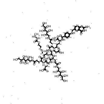 CNNC(=O)OCCSSC[C@@H](NC(=O)[C@H](CCC(=O)NC[C@H](O)[C@@H](O)[C@H](O)[C@H](O)CO)NC(=O)[C@@H](CCC(=O)O)NC(=O)[C@H](CCC(=O)NC[C@H](O)[C@@H](O)[C@H](O)[C@H](O)CO)NC(=O)[C@@H](CCC(=O)O)NC(=O)[C@H](CCC(=O)NC[C@H](O)[C@@H](O)[C@H](O)[C@H](O)CO)NC(=O)CC[C@H](NC(=O)c1ccc(NCc2cnc3nc(N)[nH]c(=O)c3n2)cc1)C(=O)O)C(=O)O